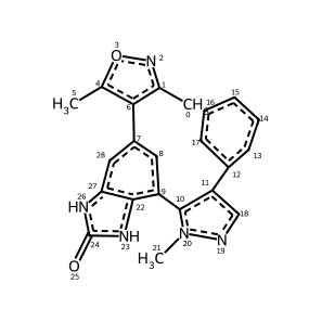 Cc1noc(C)c1-c1cc(-c2c(-c3ccccc3)cnn2C)c2[nH]c(=O)[nH]c2c1